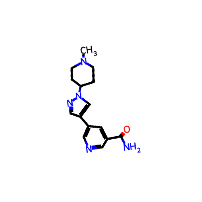 CN1CCC(n2cc(-c3cncc(C(N)=O)c3)cn2)CC1